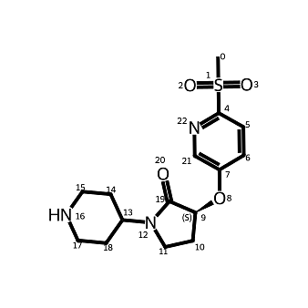 CS(=O)(=O)c1ccc(O[C@H]2CCN(C3CCNCC3)C2=O)cn1